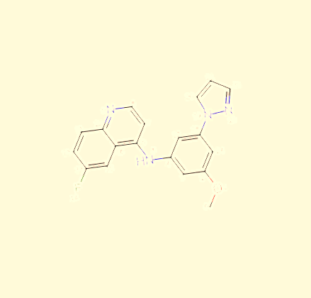 COc1cc(Nc2ccnc3ccc(F)cc23)cc(-n2cccn2)c1